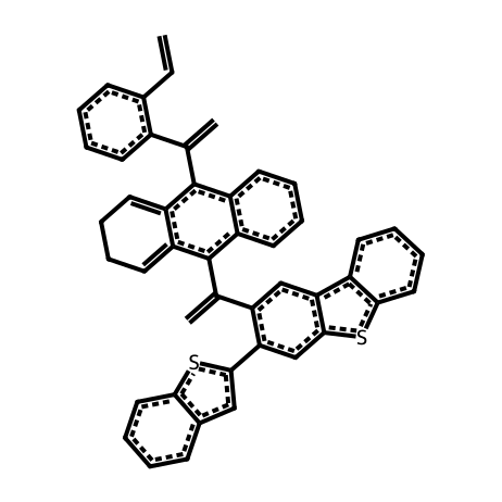 C=Cc1ccccc1C(=C)c1c2c(c(C(=C)c3cc4c(cc3-c3cc5ccccc5s3)sc3ccccc34)c3ccccc13)=CCCC=2